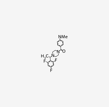 CNc1ccc(C(=O)N2CCN(C(C)c3c(F)cc(F)cc3F)CC2)cc1